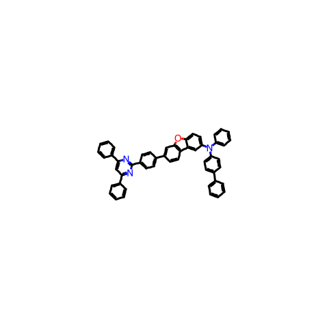 c1ccc(-c2ccc(N(c3ccccc3)c3ccc4oc5cc(-c6ccc(-c7nc(-c8ccccc8)cc(-c8ccccc8)n7)cc6)ccc5c4c3)cc2)cc1